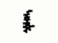 CCCn1c(=O)n(C2CC2)c(=O)c2[nH]c(-c3ccc(NCCO)nc3)nc21